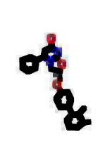 Cc1cccc(-c2ccc(OC[C@@H]3Cn4c(-c5ccccc5)cc(=O)nc4O3)cc2)c1C